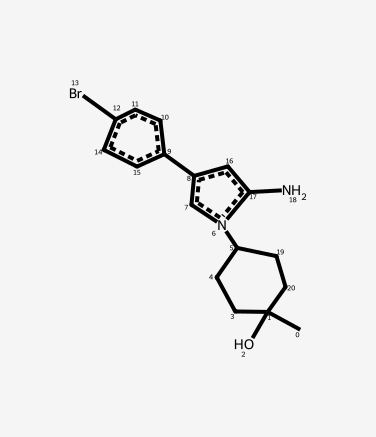 CC1(O)CCC(n2cc(-c3ccc(Br)cc3)cc2N)CC1